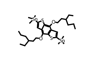 CCCC(CC)CCOc1c2c[c]([Sn]([CH3])([CH3])[CH3])sc2c(OCCC(CC)CCC)c2c[c]([Sn]([CH3])([CH3])[CH3])sc12